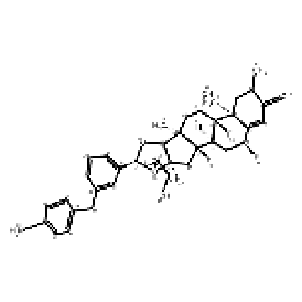 CC1C[C@@]2(C)C(=CC1=O)[C@@H](F)C[C@H]1[C@@H]3C[C@H]4O[C@@H](c5cccc(Cc6ccc(N)cc6)c5)O[C@@]4(C(=O)CO)[C@@]3(C)C[C@H](O)[C@@]12F